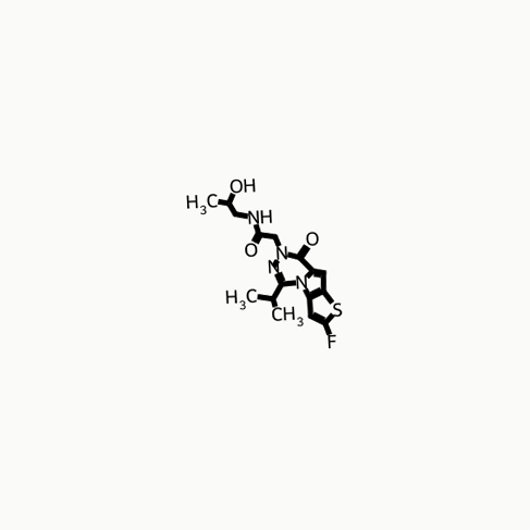 CC(O)CNC(=O)Cn1nc(C(C)C)n2c(cc3sc(F)cc32)c1=O